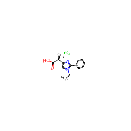 C=C(C(=O)O)c1cn(CC)c(-c2ccccc2)n1.Cl